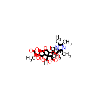 Cc1nc(C)c(C(=O)O[C@H]2C(=O)O[C@H]3O[C@]45C(=O)OC6C[C@@H](C(C)(C)C)C32C64[C@@H](O)C2OC(=O)[C@@H](C)[C@@]25O)nc1C